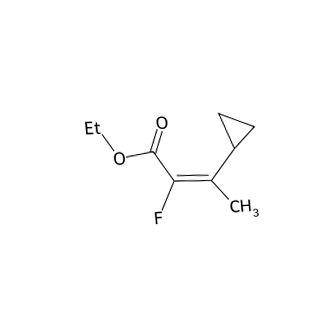 CCOC(=O)/C(F)=C(/C)C1CC1